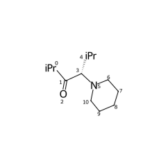 CC(C)C(=O)[C@H](C(C)C)N1CCCCC1